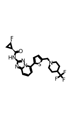 O=C(Nc1nc2cccc(-c3ccc(CN4CCC(C(F)(F)F)CC4)s3)n2n1)[C@H]1C[C@@H]1F